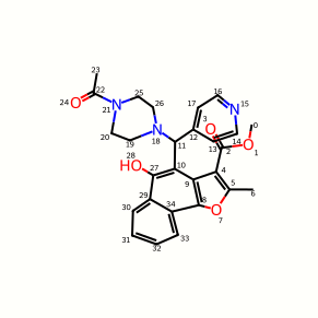 COC(=O)c1c(C)oc2c1c(C(c1ccncc1)N1CCN(C(C)=O)CC1)c(O)c1ccccc12